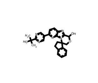 CC(C)(O)c1ncc(-c2ccc3nc4n(c3n2)C2(CCc3ccccc32)COC4O)cn1